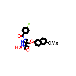 COc1ccc2cc(OCC3(C4(NO)COC4)CN(C(=O)c4ccc(F)cc4)C3)ccc2c1